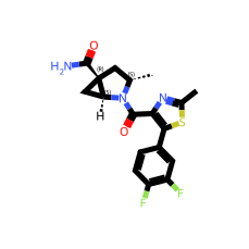 [CH2][C@H]1C[C@@]2(C(N)=O)C[C@@H]2N1C(=O)c1nc(C)sc1-c1ccc(F)c(F)c1